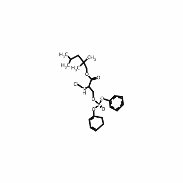 CC(C)CC(C)(C)COC(=O)C(COP(=O)(OC1=CC=CCC1)Oc1ccccc1)NCl